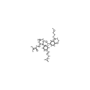 COCCCN1CCOc2ccc(CO[C@H]3CNC[C@@H](OCC(=O)N(C)C)[C@@H]3c3ccc(COCC4CC4)cc3)cc21